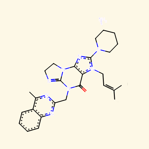 CC(C)=CCn1c(N2CCC[C@@H](N)C2)nc2c1C(=O)N(Cc1nc(C)c3ccccc3n1)C1=NCCN12